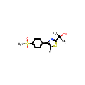 CCc1sc(C(O)(C(F)(F)F)C(F)(F)F)nc1-c1ccc(S(C)(=O)=O)cc1